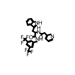 O=C(Cc1cccnc1)NC(Cc1c[nH]c2ccccc12)C(=O)NCc1cc(C(F)(F)F)cc(C(F)(F)F)c1